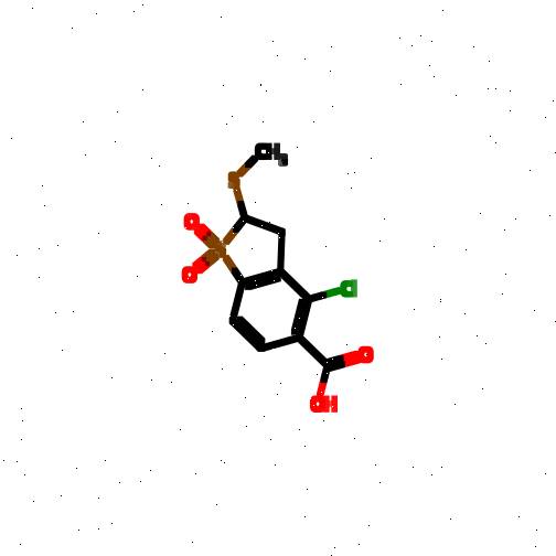 CSC1Cc2c(ccc(C(=O)O)c2Cl)S1(=O)=O